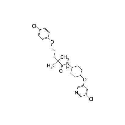 CC(C)(CCCOc1ccc(Cl)cc1)C(=O)NC1CCC(Oc2cncc(Cl)c2)CC1